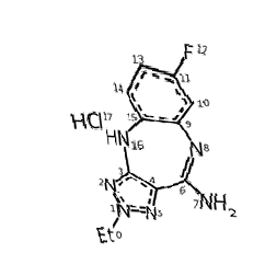 CCn1nc2c(n1)C(N)=Nc1cc(F)ccc1N2.Cl